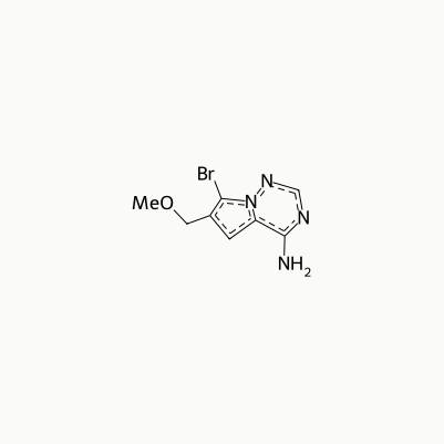 COCc1cc2c(N)ncnn2c1Br